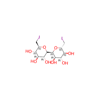 O[C@@H]1[C@@H](O)[C@@H](C2O[C@H](CI)[C@@H](O)[C@H](O)[C@H]2O)O[C@H](CI)[C@H]1O